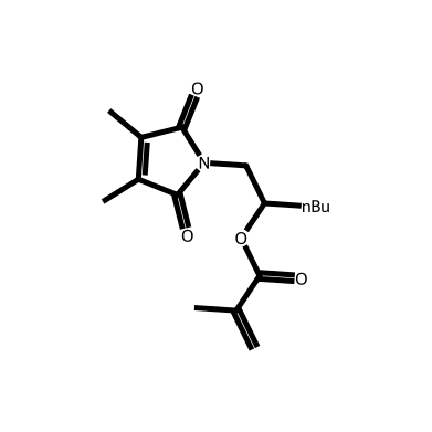 C=C(C)C(=O)OC(CCCC)CN1C(=O)C(C)=C(C)C1=O